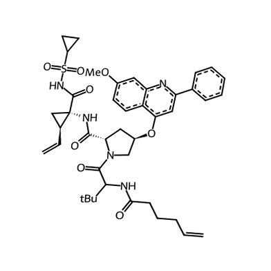 C=CCCCC(=O)NC(C(=O)N1C[C@H](Oc2cc(-c3ccccc3)nc3cc(OC)ccc23)C[C@H]1C(=O)N[C@@]1(C(=O)NS(=O)(=O)C2CC2)C[C@@H]1C=C)C(C)(C)C